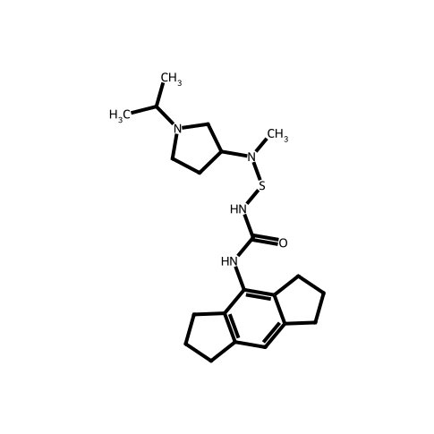 CC(C)N1CCC(N(C)SNC(=O)Nc2c3c(cc4c2CCC4)CCC3)C1